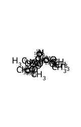 CCOc1nn(C(Cc2ccccc2)C(=O)Nc2ccc(C(=O)OC(C)(C)C)cc2)c(=O)cc1-c1cc(Cl)ccc1C(C)=O